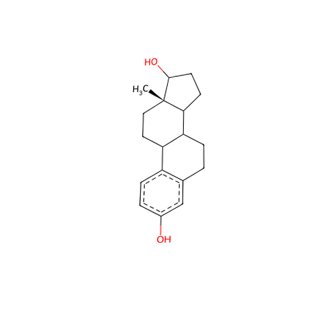 C[C@]12CCC3c4ccc(O)cc4CCC3C1CCC2O